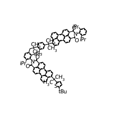 CC(C)c1cccc(C(C)C)c1N1C(=O)c2ccc3c4cccc5c(C(C)(C)c6ccc(C(C)(C)Cc7ccc(C(C)C)c(N8C(=O)c9ccc%10c%11cccc%12c(C(C)(C)c%13ccc(C(C)(C)C)s%13)ccc(c%13ccc(c9c%10%13)C8=O)c%12%11)c7C(C)C)cc6)ccc(c6ccc(c2c36)C1=O)c54